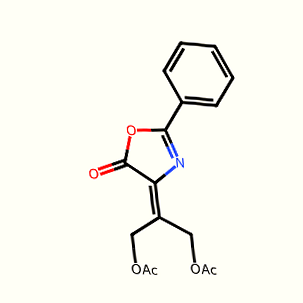 CC(=O)OCC(COC(C)=O)=C1N=C(c2ccccc2)OC1=O